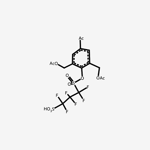 CC(=O)OCc1cc(C(C)=O)cc(COC(C)=O)c1OS(=O)(=O)C(F)(F)C(F)(F)C(F)(F)S(=O)(=O)O